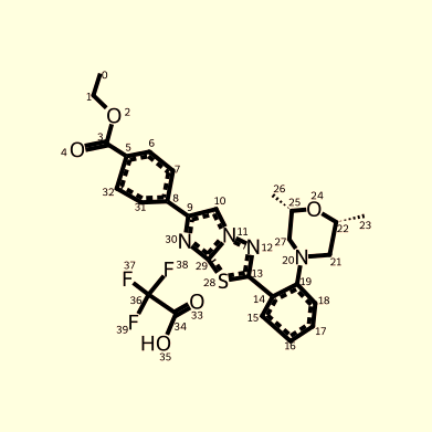 CCOC(=O)c1ccc(-c2cn3nc(-c4ccccc4N4C[C@@H](C)O[C@@H](C)C4)sc3n2)cc1.O=C(O)C(F)(F)F